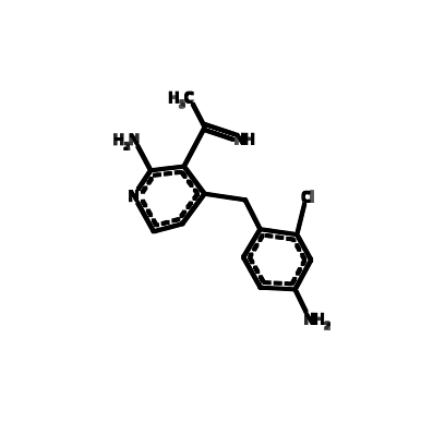 CC(=N)c1c(Cc2ccc(N)cc2Cl)ccnc1N